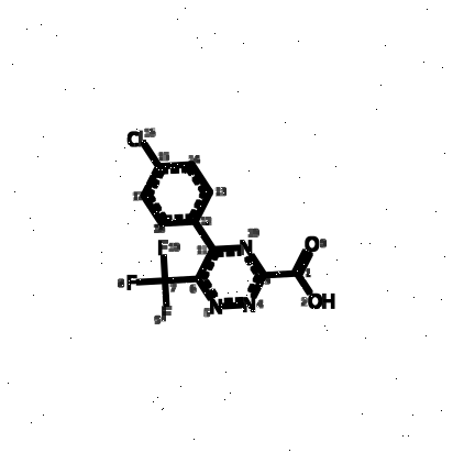 O=C(O)c1nnc(C(F)(F)F)c(-c2ccc(Cl)cc2)n1